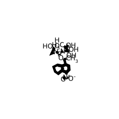 CC(OP(N1CC1(O)O)N1C(C)(O)C1(O)O)c1ccc([N+](=O)[O-])c2c1=CCCC=2